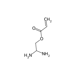 C=CC(=O)OCC(N)N